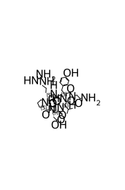 CC(=O)N[C@@H](CCCNC(=N)N)C(=O)N1CCC[C@H]1C(=O)N[C@@H](CC(=O)O)C(=O)N[C@H](C(=O)N[C@@H](Cc1ccc(O)cc1)C(=O)NCC(N)=O)C(C)C